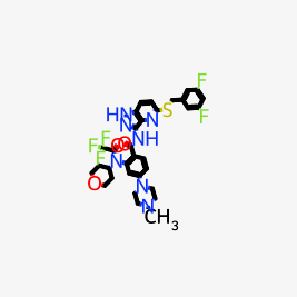 CN1CCN(c2ccc(C(=O)Nc3n[nH]c4ccc(SCc5cc(F)cc(F)c5)nc34)c(N(C(=O)C(F)(F)F)C3CCOCC3)c2)CC1